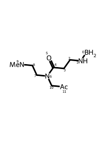 BNCCC(=O)N(CCNC)CC(C)=O